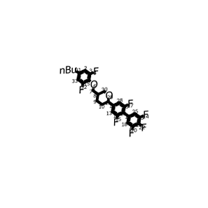 CCCCc1cc(F)c(OCC2CCC(c3cc(F)c(-c4cc(F)c(F)c(F)c4)c(F)c3)OC2)c(F)c1